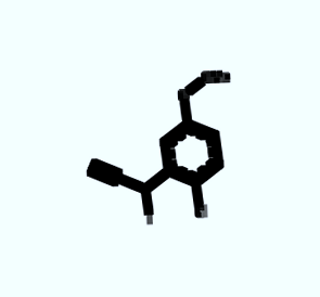 C#CC(I)c1cc(OOC)ccc1Cl